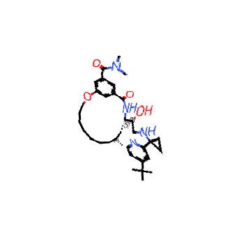 C[C@@H]1CCCCCCCOc2cc(cc(C(=O)N(C)C)c2)C(=O)N[C@H]([C@H](O)CNC2(c3cc(C(C)(C)C)ccn3)CC2)C1